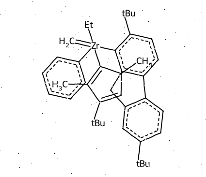 [CH2]=[Zr]([CH2]C)([C]1=C(C)C(C(C)(C)C)=CC1C)([c]1ccccc1)[c]1c(C(C)(C)C)ccc2c1Cc1cc(C(C)(C)C)ccc1-2